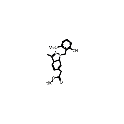 COc1cccc(C#N)c1CN1N=C(C)C2C=CC(CC(=O)OC(C)(C)C)=CC21